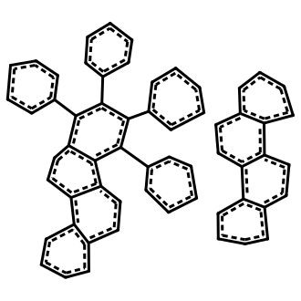 c1ccc(-c2c(-c3ccccc3)c(-c3ccccc3)c3c(ccc4c5ccccc5ccc43)c2-c2ccccc2)cc1.c1ccc2c(c1)ccc1c3ccccc3ccc21